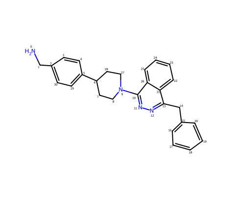 NCc1ccc(C2CCN(c3nnc(Cc4ccccc4)c4ccccc34)CC2)cc1